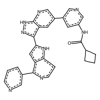 O=C(Nc1cncc(-c2cnc3[nH]nc(-c4cc5c(-c6cccnc6)nccc5[nH]4)c3c2)c1)C1CCC1